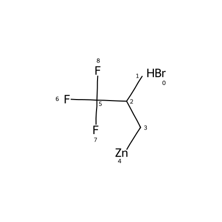 Br.CC([CH2][Zn])C(F)(F)F